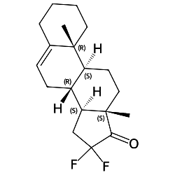 C[C@]12CCCCC1=CC[C@@H]1[C@@H]2CC[C@]2(C)C(=O)C(F)(F)C[C@@H]12